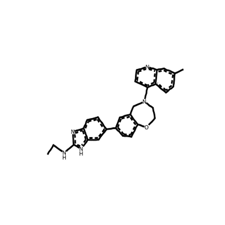 CCNc1nc2ccc(-c3ccc4c(c3)CN(c3ccnc5cc(C)ccc35)CCO4)cc2[nH]1